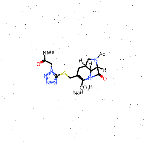 CNC(=O)Cn1nnnc1SCC1=C(C(=O)O)N2C(=O)[C@@H]3[C@H]2[C@H](C1)CN3C(C)=O.[NaH]